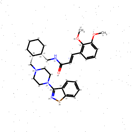 COc1cccc(/C=C/C(=O)NC[C@H]2CCCC[C@H]2CN2CCN(c3nsc4ccccc34)CC2)c1OC